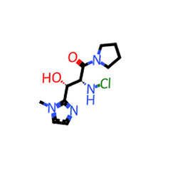 Cn1ccnc1[C@H](O)[C@@H](NCl)C(=O)N1CCCC1